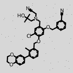 Cc1c(COc2cc(OCc3cccc(C#N)c3)c(CN(CC#N)CC(C)(C)O)cc2Cl)cccc1-c1ccc2c(c1)OCCO2